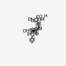 CCOc1cc(C(=O)O)c(O)c(-c2ccc(C(=O)NCNC(=O)[C@H](CCc3ccccc3)[C@@H](CC)N(O)C=O)o2)c1